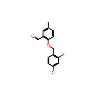 Cc1ccc(OCc2ccc(Cl)cc2F)c(C=O)c1